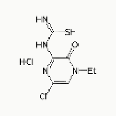 CCn1cc(Cl)nc(NC(=N)S)c1=O.Cl